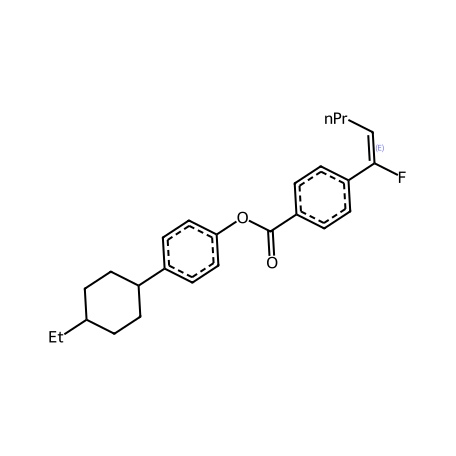 CCC/C=C(/F)c1ccc(C(=O)Oc2ccc(C3CCC(CC)CC3)cc2)cc1